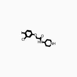 O=C(COc1ccc(I)c(Cl)c1)NC1CCNCC1